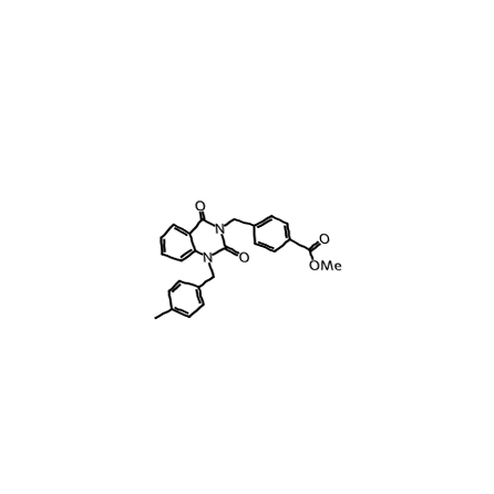 COC(=O)c1ccc(Cn2c(=O)c3ccccc3n(Cc3ccc(C)cc3)c2=O)cc1